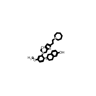 CCN(Cc1ccc(CCN2CCCCCC2)s1)C1C=C(OC)C=CC1[C@@H]1CCc2cc(O)ccc2C1